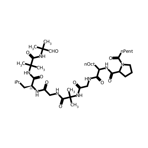 CCCCCCCCC(NC(=O)C1CCCN1C(=O)CCCCC)C(=O)NCC(=O)NC(C)(C)C(=O)NCC(=O)N[C@@H](CC(C)C)C(=O)NC(C)(C)C(=O)NC(C)(C)C=O